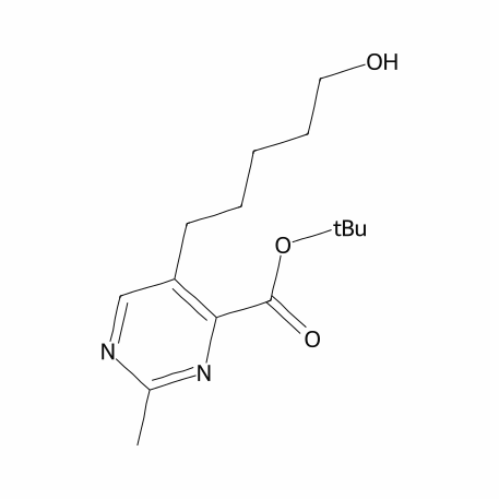 Cc1ncc(CCCCCO)c(C(=O)OC(C)(C)C)n1